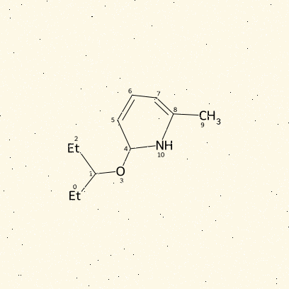 CCC(CC)OC1C=CC=C(C)N1